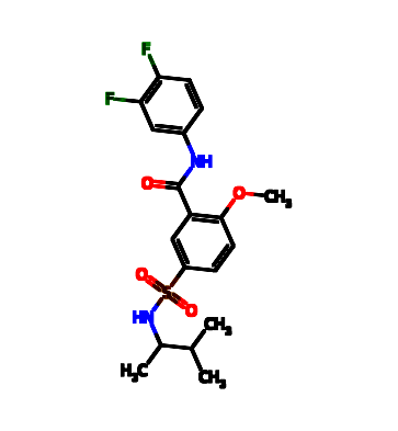 COc1ccc(S(=O)(=O)NC(C)C(C)C)cc1C(=O)Nc1ccc(F)c(F)c1